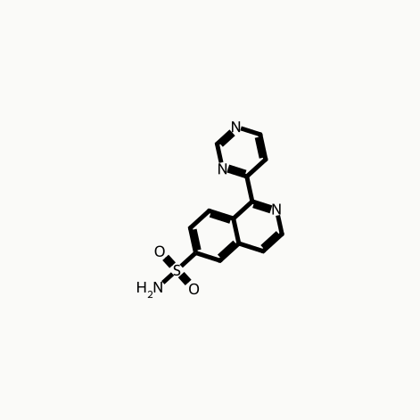 NS(=O)(=O)c1ccc2c(-c3ccncn3)nccc2c1